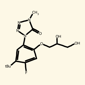 Cn1nnn(-c2cc(C(C)(C)C)c(F)cc2OCC(O)CO)c1=O